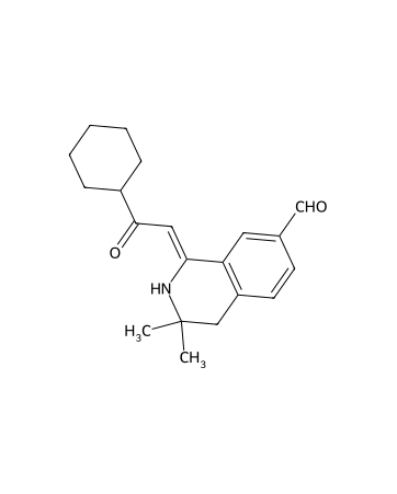 CC1(C)Cc2ccc(C=O)cc2C(=CC(=O)C2CCCCC2)N1